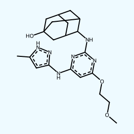 COCCOc1cc(Nc2cc(C)[nH]n2)nc(NC2C3CC4CC2CC(O)(C4)C3)n1